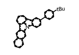 CC(C)(C)c1ccc(-c2ccc3c(c2)c2cccc4c5cc6ccccc6cc5n3c24)cc1